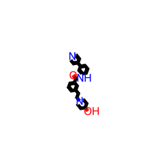 O=C(Nc1cccc(-c2ccncc2)c1)c1cccc(CCN2CCC(O)CC2)c1